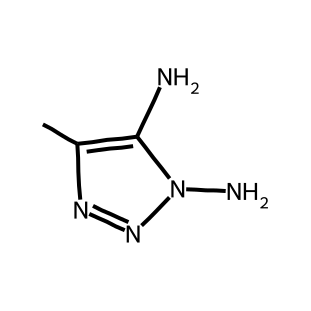 Cc1nnn(N)c1N